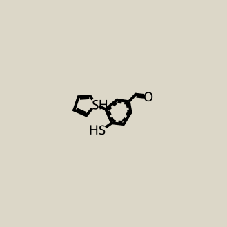 O=Cc1ccc(S)c([SH]2C=CC=C2)c1